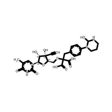 C#C[C@@]1(O)[C@@H](COC(Cc2ccc(N3CCCNC3O)cc2)(C(=O)O)C(=O)O)O[C@@H](n2cc(C)c(=O)[nH]c2=O)[C@@H]1O